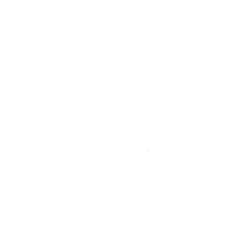 CCOP(=O)(OCC)C(Cc1cc(C)cs1)P(=O)(OCC)OCC